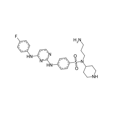 NCCCN(C1CCNCC1)S(=O)(=O)c1ccc(Nc2nccc(Nc3ccc(F)cc3)n2)cc1